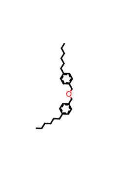 CCCCCCc1ccc(COCc2ccc(CCCCCC)cc2)cc1